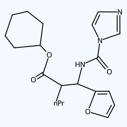 CCCC(C(=O)OC1CCCCC1)C(NC(=O)n1ccnc1)c1ccco1